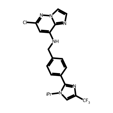 CC(C)n1cc(C(F)(F)F)nc1-c1ccc(CNc2cc(Cl)nn3ccnc23)cc1